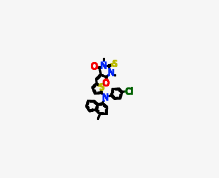 Cc1ccc(N(c2ccc(Cl)cc2)c2ccc(C=C3C(=O)N(C)C(=S)N(C)C3=O)s2)c2ccccc12